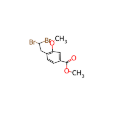 COC(=O)c1ccc(CC(Br)Br)c(OC)c1